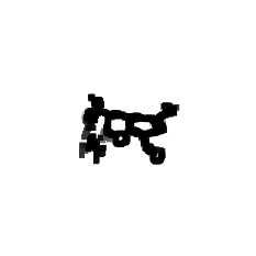 COC(=O)C1=Cc2cc(Br)cc(C=O)c2O[C@@H]1C(F)(F)F